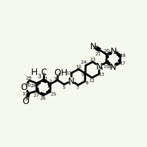 Cc1c(C(O)CN2CCC3(CC2)CCN(c2nccnc2C#N)CC3)ccc2c1COC2=O